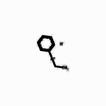 C[CH2][Al+][c]1ccccc1.[H-]